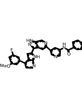 COc1cc(F)cc(-c2ccnc3[nH]c(-c4n[nH]c5cnc(-c6cncc(NC(=O)c7ccccc7)c6)cc45)cc23)c1